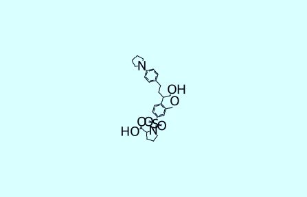 Cc1cc(S(=O)(=O)N2CCCC2C(=O)O)ccc1C(CCc1ccc(N2CCCC2)cc1)C(=O)O